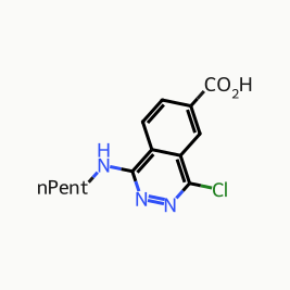 CCCCCNc1nnc(Cl)c2cc(C(=O)O)ccc12